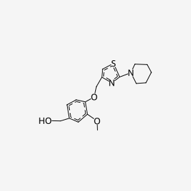 COc1cc(CO)ccc1OCc1csc(N2CCCCC2)n1